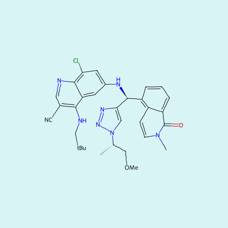 COC[C@H](C)n1cc([C@@H](Nc2cc(Cl)c3ncc(C#N)c(NCC(C)(C)C)c3c2)c2cccc3c(=O)n(C)ccc23)nn1